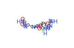 CC(C)Oc1c(-c2cn[nH]c2)ncn2nc(Nc3ccc(S(=O)(=O)N4CCC[C@H](CN5CCC(c6ccc7c(N8CCC(=O)NC8=O)nn(C)c7c6)CC5)C4)cc3F)nc12